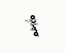 CN1C(=O)[C@@H](NC(=O)c2cc(Cc3cccc(F)c3)[nH]n2)COc2ccccc21